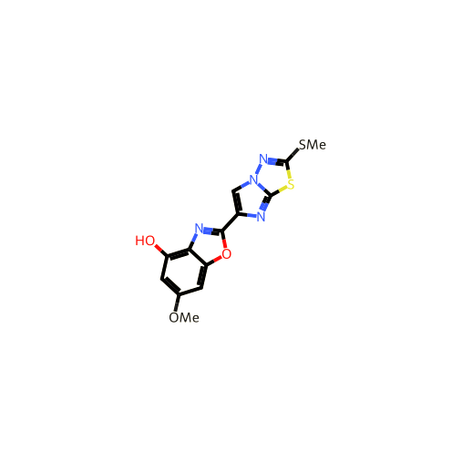 COc1cc(O)c2nc(-c3cn4nc(SC)sc4n3)oc2c1